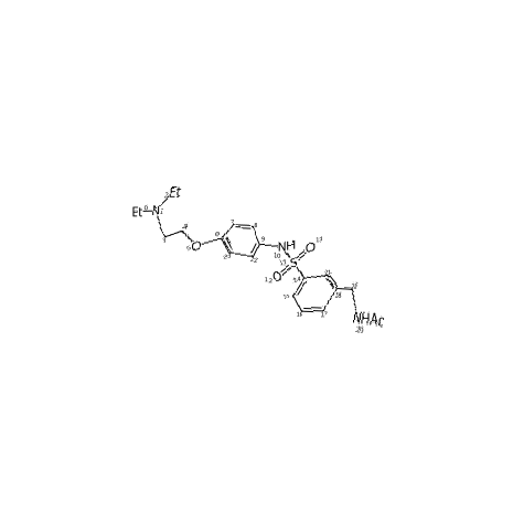 CCN(CC)CCOc1ccc(NS(=O)(=O)c2cccc(CNC(C)=O)c2)cc1